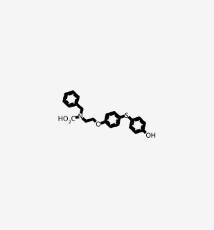 O=C(O)N(CCOc1ccc(Sc2ccc(O)cc2)cc1)Cc1ccccc1